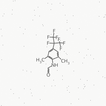 Cc1cc(C(F)(C(F)(F)F)C(F)(F)F)cc(C)c1NC=O